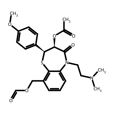 COc1ccc([C@@H]2Sc3c(COC=O)cccc3N(CCN(C)C)C(=O)[C@@H]2OC(C)=O)cc1